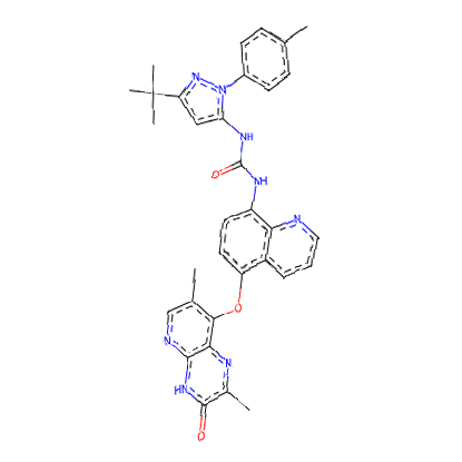 Cc1ccc(-n2nc(C(C)(C)C)cc2NC(=O)Nc2ccc(Oc3c(C)cnc4[nH]c(=O)c(C)nc34)c3cccnc23)cc1